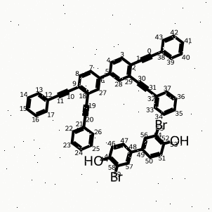 C(#Cc1ccc(-c2ccc(C#Cc3ccccc3)c(C#Cc3ccccc3)c2)cc1C#Cc1ccccc1)c1ccccc1.Oc1ccc(-c2ccc(O)c(Br)c2)cc1Br